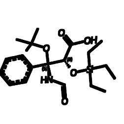 CC[Si](CC)(CC)O[C@@H](C(=O)O)[C@@](NC=O)(OC(C)(C)C)c1ccccc1